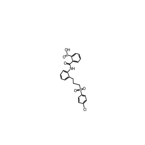 O=C(Nc1ccccc1CCCS(=O)(=O)c1ccc(Cl)cc1)c1ccccc1S(=O)O